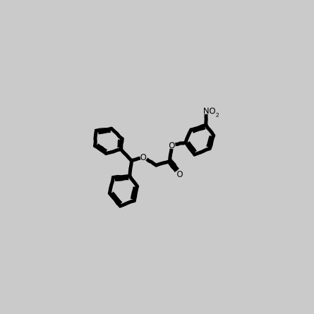 O=C(COC(c1ccccc1)c1ccccc1)Oc1cccc([N+](=O)[O-])c1